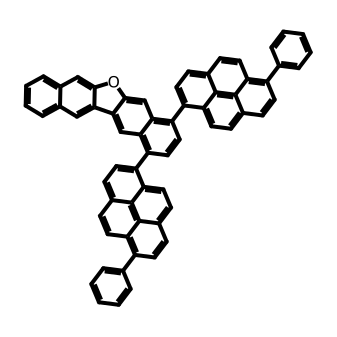 c1ccc(-c2ccc3ccc4c(-c5ccc(-c6ccc7ccc8c(-c9ccccc9)ccc9ccc6c7c98)c6cc7c(cc56)oc5cc6ccccc6cc57)ccc5ccc2c3c54)cc1